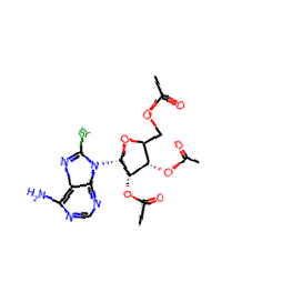 CC(=O)OCC1O[C@@H](n2c(Br)nc3c(N)ncnc32)[C@@H](OC(C)=O)[C@H]1OC(C)=O